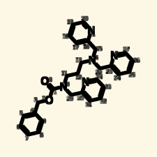 O=C(OCc1ccccc1)N(CCCN(Cc1ccccn1)Cc1ccccn1)Cc1ccccn1